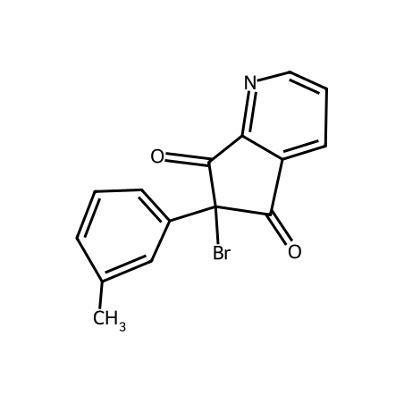 Cc1cccc(C2(Br)C(=O)c3cccnc3C2=O)c1